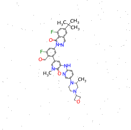 CC1CN(C2COC2)CCN1c1ccc(Nc2cc(-c3cc(-n4ncc5cc(C(C)(C)C)cc(F)c5c4=O)cc(F)c3C=O)cn(C)c2=O)nc1